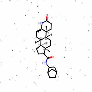 C[C@]12CCC(=O)NC1=CC[C@@H]1[C@H]2CC[C@]2(C)C(C(=O)NC3CC4CCC3C4)CC[C@@H]12